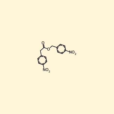 O=C(Cc1ccc([N+](=O)[O-])cc1)OCc1ccc([N+](=O)[O-])cc1